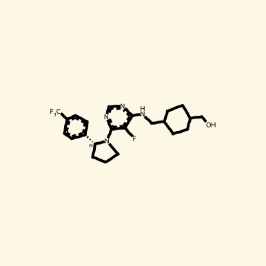 OCC1CCC(CNc2ncnc(N3CCC[C@@H]3c3ccc(C(F)(F)F)cc3)c2F)CC1